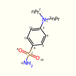 CCCN(CCC)c1ccc(S(N)(=O)=O)cc1